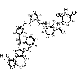 Cc1nnc2n1-c1sc(C#Cc3cnn(CCn4cncc4CNc4cccc5c4CN(C4CCC(=O)NC4=O)C5=O)c3)c(Cc3ccccc3)c1COC2